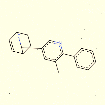 Cc1cc(C2NC3C=CC2CC3)cnc1-c1ccccc1